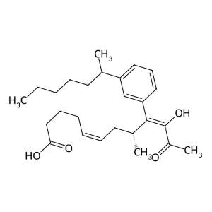 CCCCCC(C)c1cccc(/C(=C(\O)C(C)=O)[C@H](C)C/C=C\CCCC(=O)O)c1